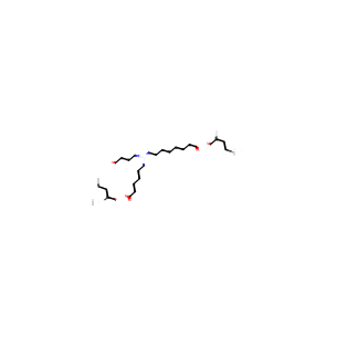 CC(C)CCC(COC(=O)CCCCCCCN(CCCCO)CCCCCC(=O)OCC(CCC(C)C)C(C)C)C(C)C